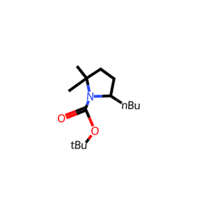 CCCCC1CCC(C)(C)N1C(=O)OC(C)(C)C